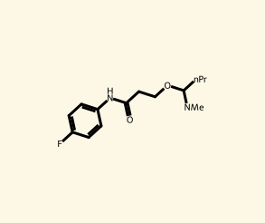 CCCC(NC)OCCC(=O)Nc1ccc(F)cc1